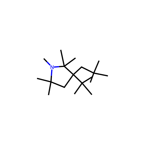 CN1C(C)(C)CC(CC(C)(C)C)(C(C)(C)C)C1(C)C